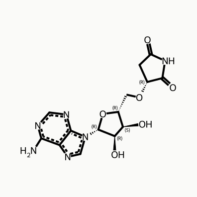 Nc1ncnc2c1ncn2[C@@H]1O[C@H](CO[C@@H]2CC(=O)NC2=O)[C@@H](O)[C@H]1O